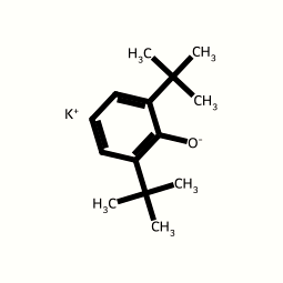 CC(C)(C)c1cccc(C(C)(C)C)c1[O-].[K+]